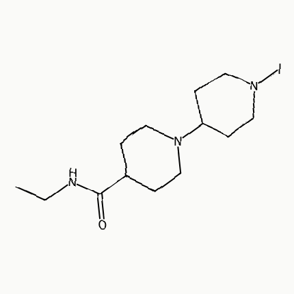 CCNC(=O)C1CCN(C2CCN(I)CC2)CC1